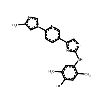 Cc1cn(-c2ccc(-c3csc(Nc4cc(C)c(O)cc4C)n3)cn2)cn1